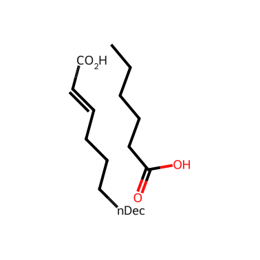 CCCCCC(=O)O.CCCCCCCCCCCCCC=CC(=O)O